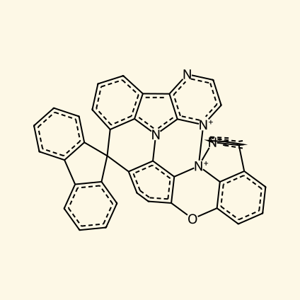 c1ccc2c(c1)-c1ccccc1C21c2ccc3c4c2-n2c5c1cccc5c1ncc[n+](c12)[N+]41c2c(cccc2-c2cccc[n+]21)O3